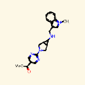 COC(=O)c1cnc(N2CC3C(C2)C3NCc2cn(C)c3ccccc23)nc1